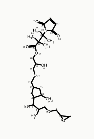 CCC(C(C)COCC1CO1)C1CC(COCC(O)COC(=O)C(C)(C)C(C)(C)N2C(=O)C=CC2=O)CC1C